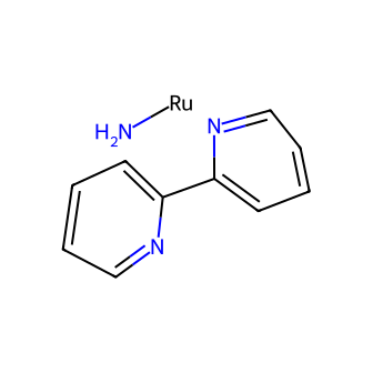 [NH2][Ru].c1ccc(-c2ccccn2)nc1